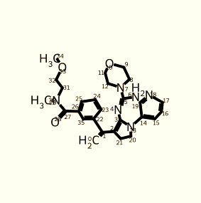 C=C(C1=C(/N=C(\N)N2CCOCC2)N(c2cccnc2)CC1)c1cccc(C(=O)N(C)CCOC)c1